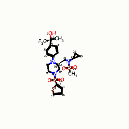 C[C@@](O)(c1ccc(N2CCN(S(=O)(=O)c3cccs3)C[C@@H]2CN(C2CC2)S(C)(=O)=O)cc1)C(F)(F)F